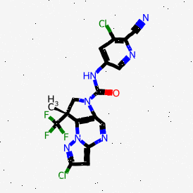 C[C@@]1(C(F)(F)F)CN(C(=O)Nc2cnc(C#N)c(Cl)c2)c2cnc3cc(Cl)nn3c21